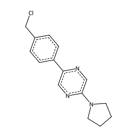 ClCc1ccc(-c2cnc(N3CCCC3)cn2)cc1